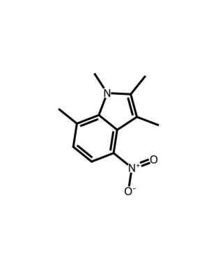 Cc1c(C)n(C)c2c(C)ccc([N+](=O)[O-])c12